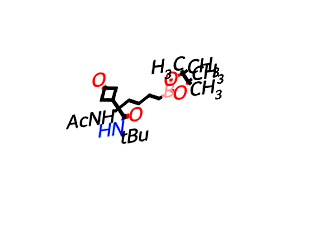 CC(=O)NC(CCCCB1OC(C)(C)C(C)(C)O1)(C(=O)NC(C)(C)C)C1CC(=O)C1